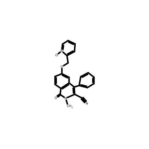 Cn1c(C#N)c(-c2ccccc2)c2cc(OCc3cccc[n+]3[O-])ccc2c1=O